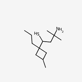 CCCC1(C(S)CC(C)(C)N)CC(C)C1